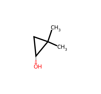 CC1(C)C[C@H]1O